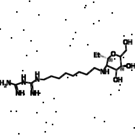 CC[C@@H]1OC(CO)[C@@H](O)C(O)C1NCCCCCCCCNC(=N)NC(=N)N